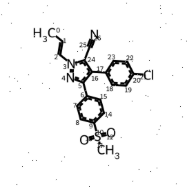 CC=Cn1nc(-c2ccc(S(C)(=O)=O)cc2)c(-c2ccc(Cl)cc2)c1C#N